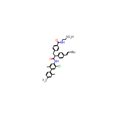 Cc1cc(C(F)(F)F)ccc1-c1cc(Cl)c(NC(=O)C(Cc2ccc(C(=O)NCCS(=O)(=O)O)cc2)c2ccc(/C=C/C(C)(C)C)cc2)cc1C